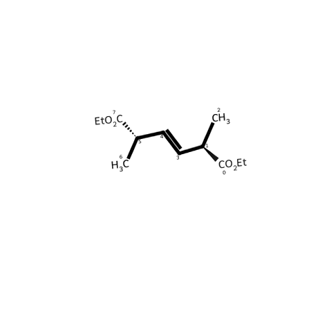 CCOC(=O)[C@H](C)/C=C/[C@H](C)C(=O)OCC